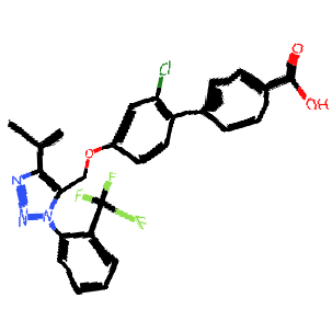 CC(C)c1nnn(-c2ccccc2C(F)(F)F)c1COc1ccc(-c2ccc(C(=O)O)cc2)c(Cl)c1